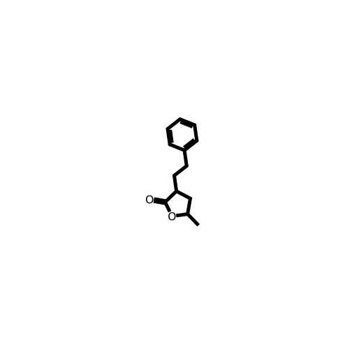 CC1CC(CCc2ccccc2)C(=O)O1